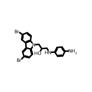 Nc1ccc(NCC(O)Cn2c3ccc(Br)cc3c3cc(Br)ccc32)cc1